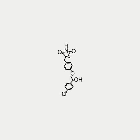 O=C1NC(=O)C(Cc2ccc(OCC(O)c3ccc(Cl)cc3)cc2)S1